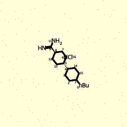 CCCCC1CCC([C@H]2CC[C@H](C(=N)N)CC2)CC1.Cl